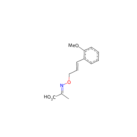 COc1ccccc1C=CCON=C(C)C(=O)O